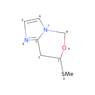 CSC1Cc2nccn2CO1